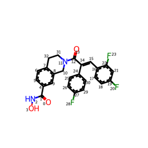 O=C(NO)c1ccc2c(c1)CN(C(=O)C(=Cc1ccc(F)cc1F)c1ccc(F)cc1)CC2